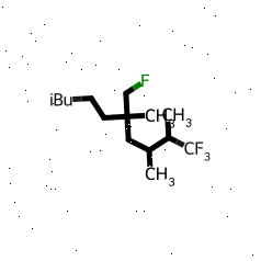 CCC(C)CCC(C)(CF)CC(C)C(C)C(F)(F)F